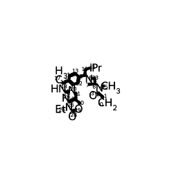 C=CC(=O)N(C)C1CN(C(CC(C)C)c2ccc([C@H](C)Nc3ncc4c(n3)N(CC)C(=O)OC4)cc2)C1